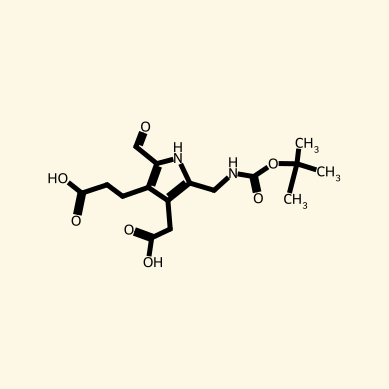 CC(C)(C)OC(=O)NCc1[nH]c(C=O)c(CCC(=O)O)c1CC(=O)O